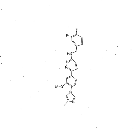 COc1cc(-c2ccc(NCc3ccc(F)c(F)c3)nn2)ccc1-n1cnc(C)c1